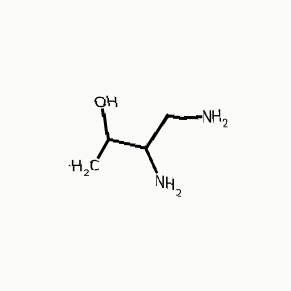 [CH2]C(O)C(N)CN